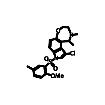 COc1ccc(C)cc1S(=O)(=O)n1cc(Cl)c2c3c(ccc21)OCCN(C)C3C